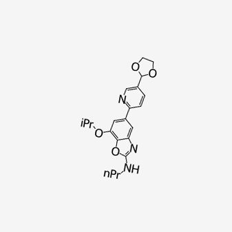 CCCNc1nc2cc(-c3ccc(C4OCCO4)cn3)cc(OC(C)C)c2o1